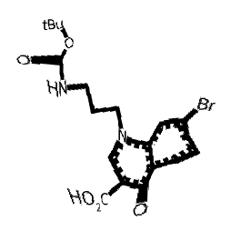 CC(C)(C)OC(=O)NCCCn1cc(C(=O)O)c(=O)c2ccc(Br)cc21